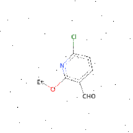 CCOc1nc(Cl)ccc1C=O